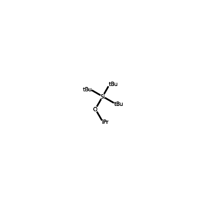 CC(C)O[Si](C(C)(C)C)(C(C)(C)C)C(C)(C)C